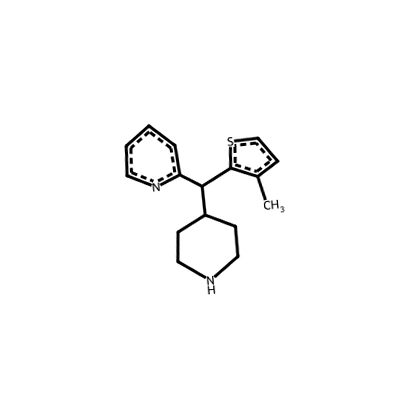 Cc1ccsc1C(c1ccccn1)C1CCNCC1